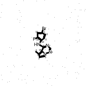 Cc1ccn2ncnc(Nc3ccc(Br)cc3F)c12